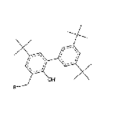 CC(C)(C)c1cc(-c2cc(C(C)(C)C)cc(CBr)c2O)cc(C(C)(C)C)c1